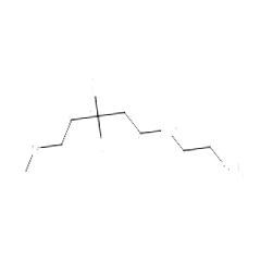 CNCCC(F)(F)CCOCCN